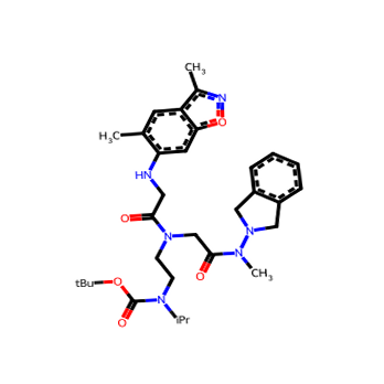 Cc1cc2c(C)noc2cc1NCC(=O)N(CCN(C(=O)OC(C)(C)C)C(C)C)CC(=O)N(C)N1Cc2ccccc2C1